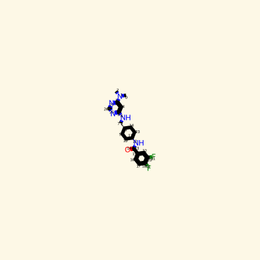 CN(C)c1cc(NC[C@H]2CC[C@@H](NC(=O)c3ccc(F)c(F)c3)CC2)ncn1